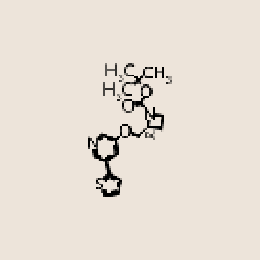 CC(C)(C)OC(=O)N1CC[C@H]1COc1cncc(-c2cccs2)c1